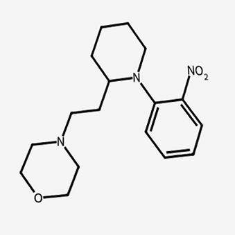 O=[N+]([O-])c1ccccc1N1CCCCC1CCN1CCOCC1